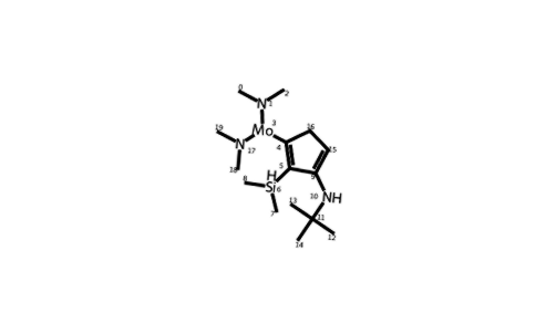 C[N](C)[Mo]([C]1=C([SiH](C)C)C(NC(C)(C)C)=CC1)[N](C)C